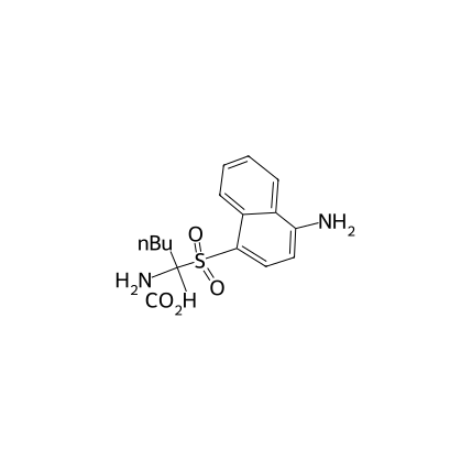 CCCCC(N)(C(=O)O)S(=O)(=O)c1ccc(N)c2ccccc12